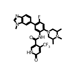 CC1CN(c2cc(F)c(-c3ccc4ncn(C)c4c3)cc2NC(=O)c2c[nH]c(=O)cc2C(F)(F)F)CC(C)N1C